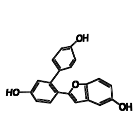 Oc1ccc(-c2cc(O)ccc2-c2cc3cc(O)ccc3o2)cc1